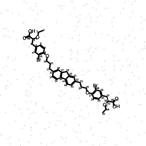 CCOC(Cc1ccc(OCCCc2ccc3c(c2)Cc2cc(CCCOc4ccc(C[C@H](OCC)C(=O)O)cc4Br)ccc2-3)c(Br)c1)C(=O)O